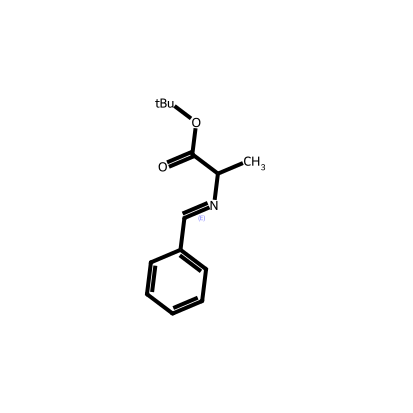 CC(/N=C/c1ccccc1)C(=O)OC(C)(C)C